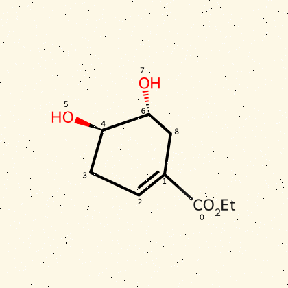 CCOC(=O)C1=CC[C@@H](O)[C@H](O)C1